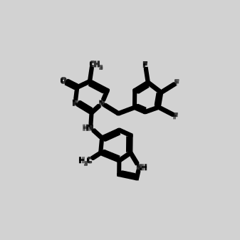 Cc1cn(Cc2cc(F)c(F)c(F)c2)c(Nc2ccc3[nH]ccc3c2C)nc1=O